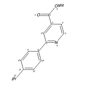 COC(=O)c1ccnc(-c2ccc(C(C)C)cc2)c1